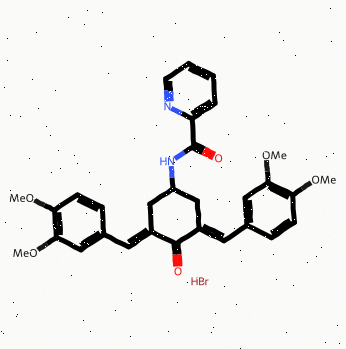 Br.COc1ccc(/C=C2\CC(NC(=O)c3ccccn3)C/C(=C\c3ccc(OC)c(OC)c3)C2=O)cc1OC